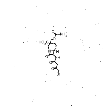 NC(=O)OCC1(C(=O)O)CS[C@@H]2C(NC(=O)CC(=O)CBr)C(=O)N2C1